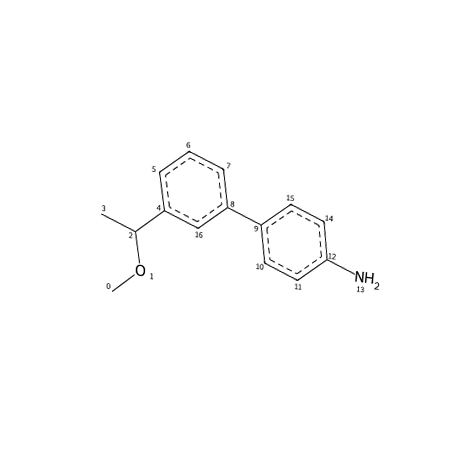 COC(C)c1cccc(-c2ccc(N)cc2)c1